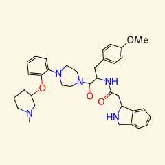 COc1ccc(CC(NC(=O)CC2NCc3ccccc32)C(=O)N2CCN(c3ccccc3OC3CCCN(C)C3)CC2)cc1